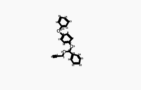 C#CCOC(Oc1ccc(Oc2ccccc2)cc1)c1ccccc1